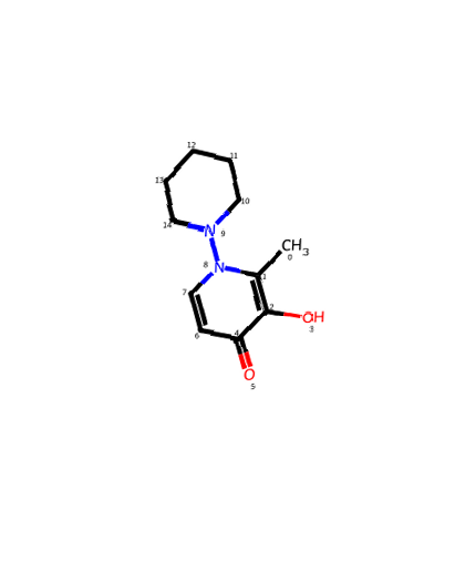 Cc1c(O)c(=O)ccn1N1CCCCC1